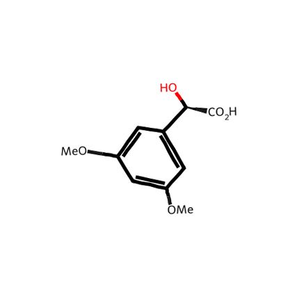 COc1cc(OC)cc([C@@H](O)C(=O)O)c1